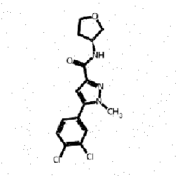 Cn1nc(C(=O)N[C@H]2CCOC2)cc1-c1ccc(Cl)c(Cl)c1